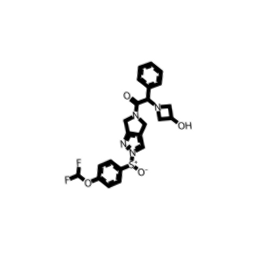 O=C(C(c1ccccc1)N1CC(O)C1)N1Cc2cn([S+]([O-])c3ccc(OC(F)F)cc3)nc2C1